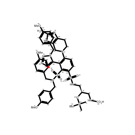 COc1ccc(CN(Cc2ccc(OC)cc2)S(=O)(=O)c2c(S(=O)(=O)NC[C@@H](CNC(=O)O)O[Si](C)(C)C(C)(C)C)ccc(N3CCc4nc(N)[nH]c4C3)c2-c2nnnn2Cc2ccc(OC)cc2)cc1